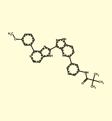 COc1cccc(-c2nccc3[nH]c(-c4n[nH]c5ccc(-c6cncc(NC(=O)C(C)(C)C)c6)nc45)nc23)c1